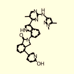 Cc1cnc(Nc2cc(C)n(C)n2)nc1-c1c[nH]c2c(N3Cc4c(cccc4-c4ccc(O)nc4)C3=O)cccc12